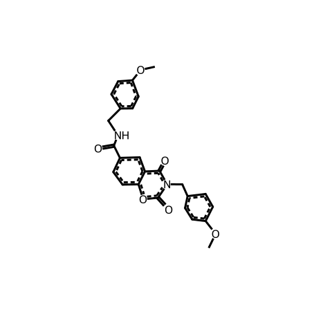 COc1ccc(CNC(=O)c2ccc3oc(=O)n(Cc4ccc(OC)cc4)c(=O)c3c2)cc1